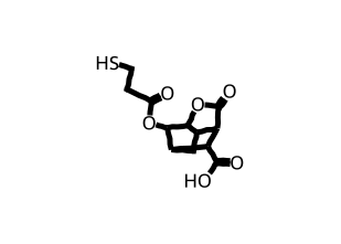 O=C(CCS)OC1C2CC3C1OC(=O)C3C2C(=O)O